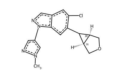 Cn1cc(-n2ncc3cc(Cl)c(C4[C@H]5COC[C@@H]45)cc32)cn1